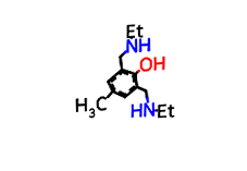 CCNCc1cc(C)cc(CNCC)c1O